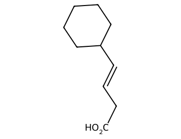 O=C(O)CC=CC1CCCCC1